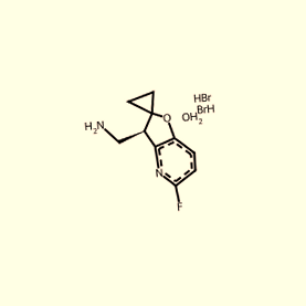 Br.Br.NC[C@@H]1c2nc(F)ccc2OC12CC2.O